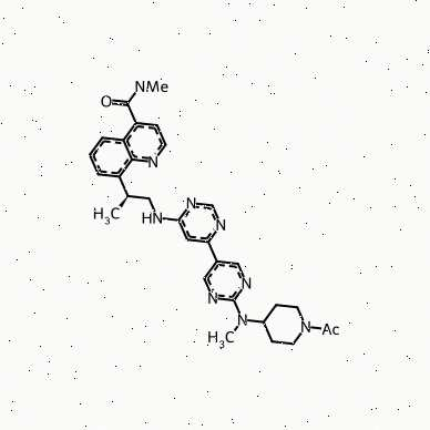 CNC(=O)c1ccnc2c([C@H](C)CNc3cc(-c4cnc(N(C)C5CCN(C(C)=O)CC5)nc4)ncn3)cccc12